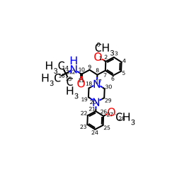 COc1ccccc1C(CC(=O)NC(C)(C)C)N1CCN(c2ccccc2OC)CC1